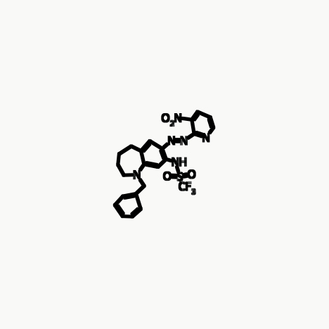 O=[N+]([O-])c1cccnc1N=Nc1cc2c(cc1NS(=O)(=O)C(F)(F)F)N(Cc1ccccc1)CCCC2